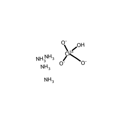 N.N.N.N.[O-][Cl+3]([O-])([O-])O